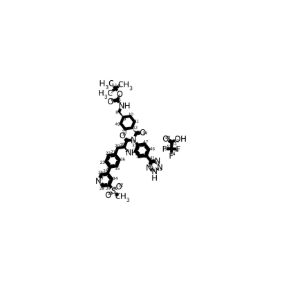 CC(C)(C)OC(=O)NC[C@H]1CC[C@H](C(=O)N(C(=O)[C@@H](N)Cc2ccc(-c3cncc(S(C)(=O)=O)c3)cc2)c2ccc(-c3nn[nH]n3)cc2)CC1.O=C(O)C(F)(F)F